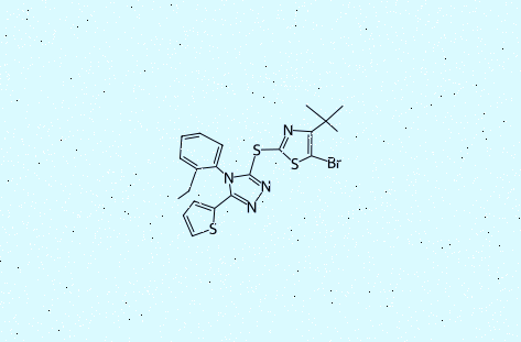 CCc1ccccc1-n1c(Sc2nc(C(C)(C)C)c(Br)s2)nnc1-c1cccs1